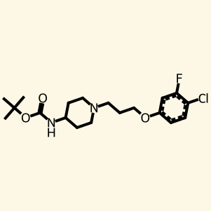 CC(C)(C)OC(=O)NC1CCN(CCCOc2ccc(Cl)c(F)c2)CC1